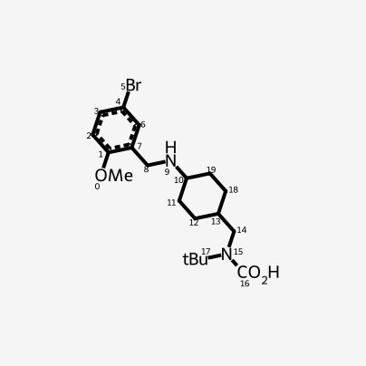 COc1ccc(Br)cc1CNC1CCC(CN(C(=O)O)C(C)(C)C)CC1